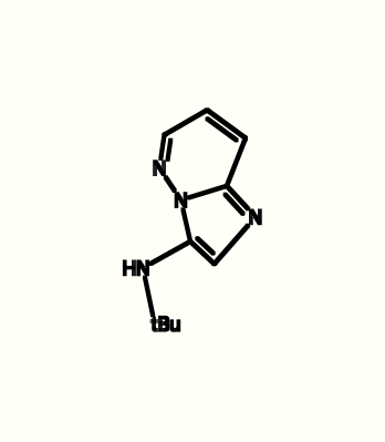 CC(C)(C)Nc1cnc2cccnn12